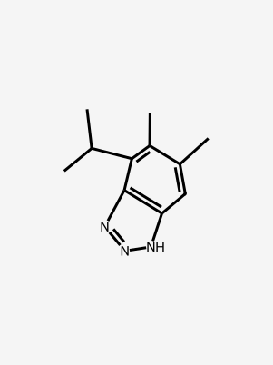 Cc1cc2[nH]nnc2c(C(C)C)c1C